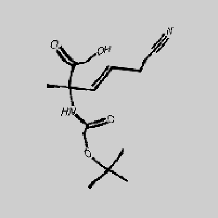 CC(C)(C)OC(=O)N[C@@](C)(C=CCC#N)C(=O)O